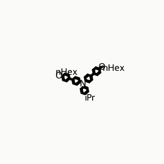 CCCCCCOc1ccc(-c2ccc(N(c3ccc(-c4ccc(OCCCCCC)cc4)cc3)c3ccc(C(C)C)cc3)cc2)cc1